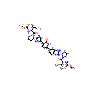 COC(=O)N[C@H](C(=O)N1CCC[C@H]1c1ncc(-c2ccc(-c3ccc4nc([C@@H]5CCCN5C(=O)[C@@H](NC(=O)OC)C(C)C)[nH]c4c3)[nH]c2=O)[nH]1)C(C)C